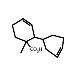 CC1(C(=O)O)CCC=CC1C1CC=CCC1